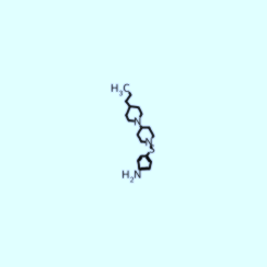 CCCC1CCN(C2CCN(Sc3ccc(N)cc3)CC2)CC1